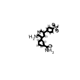 CS(=O)(=O)c1ccc(-c2cnc(N)c(-c3cccc(C(N)=O)c3)c2)cc1